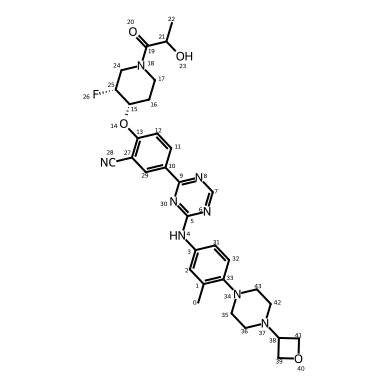 Cc1cc(Nc2ncnc(-c3ccc(O[C@H]4CCN(C(=O)C(C)O)C[C@H]4F)c(C#N)c3)n2)ccc1N1CCN(C2COC2)CC1